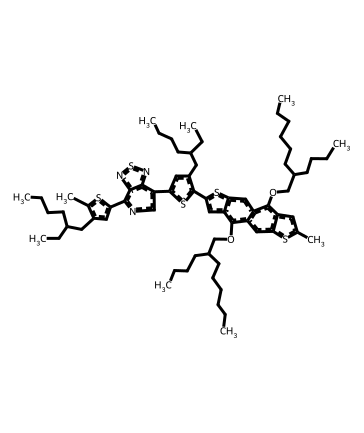 CCCCCCC(CCCC)COc1c2cc(C)sc2cc2c(OCC(CCCC)CCCCCC)c3cc(-c4sc(-c5cnc(-c6cc(CC(CC)CCCC)c(C)s6)c6nsnc56)cc4CC(CC)CCCC)sc3cc12